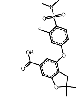 CN(C)S(=O)(=O)c1ccc(Oc2cc(C(=O)O)cc3c2CC(C)(C)O3)cc1F